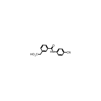 N#Cc1ccc(NC(=O)c2cccc(CC(=O)O)c2)cc1